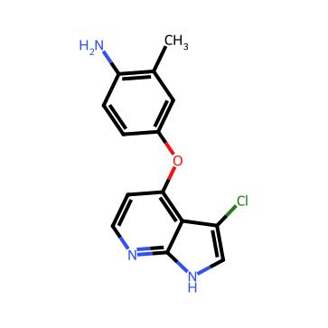 Cc1cc(Oc2ccnc3[nH]cc(Cl)c23)ccc1N